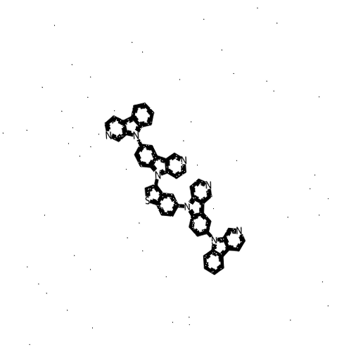 c1ccc2c(c1)c1ccncc1n2-c1ccc2c(c1)c1cnccc1n2-c1ccc2scc(-n3c4ccncc4c4cc(-n5c6ccccc6c6ccncc65)ccc43)c2c1